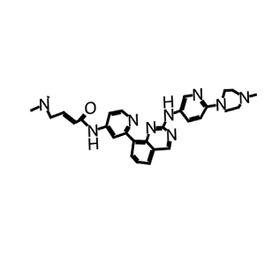 CN(C)CC=CC(=O)Nc1ccnc(-c2cccc3cnc(Nc4ccc(N5CCN(C)CC5)nc4)nc23)c1